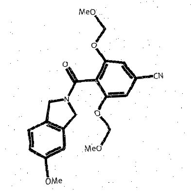 COCOc1cc(C#N)cc(OCOC)c1C(=O)N1Cc2ccc(OC)cc2C1